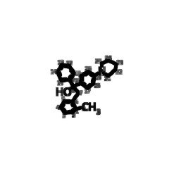 Cc1ccccc1CC(O)(c1ccccc1)c1ccc(N2CCCCC2)cc1